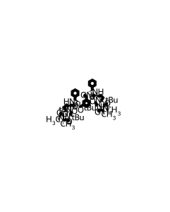 C[C@@H](C(=O)N[C@H](C(=O)N1CCCC1C(=O)N[C@H](CNC(=O)c1cccc(C(=O)NC[C@@H](NC(=O)[C@@H]2CCCN2C(=O)[C@@H](NC(=O)[C@H](C)N(C)C(=O)OC(C)(C)C)C(C)(C)C)C2CCCCC2)c1)C1CCCCC1)C(C)(C)C)N(C)C(=O)OC(C)(C)C